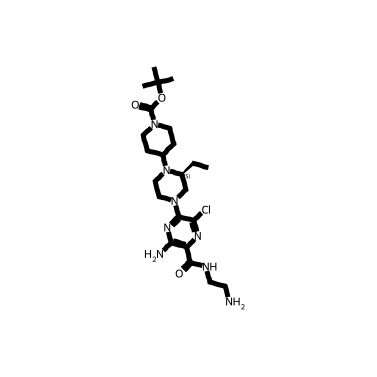 CC[C@H]1CN(c2nc(N)c(C(=O)NCCN)nc2Cl)CCN1C1CCN(C(=O)OC(C)(C)C)CC1